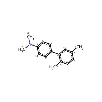 Cc1ccc(C)c(-c2ccc(N(C)C)cc2)c1